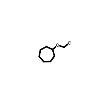 ClCOC1[CH]CCCCC1